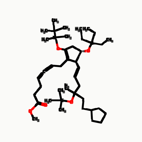 CC[Si](CC)(CC)O[C@H]1CC(O[Si](C)(C)C(C)(C)C)=C(CC=C=CCCC(=O)OC)[C@@H]1/C=C/CC(C)(CCC1CCCC1)O[Si](C)(C)C